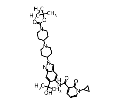 CC(C)(C)OC(=O)N1CCC(N2CCC(n3cc4cc(NC(=O)c5cccn(C6CC6)c5=O)c(C(C)(C)O)cc4n3)CC2)CC1